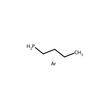 CCCCP.[Ar]